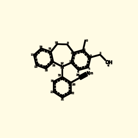 Cc1c(CO)ccc2c1CCc1ccccc1N2c1ccccc1C#N